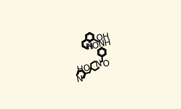 O=C(c1ccc(NC(O)(O)c2cccc3cccnc23)cc1)N1CCC(O)(Cc2cccnc2)CC1